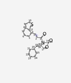 O=C(/C=C/c1cccc2ccsc12)N1C(=O)OC[C@H]1Cc1ccccc1